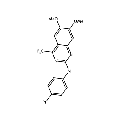 COc1cc2nc(Nc3ccc(C(C)C)cc3)nc(C(F)(F)F)c2cc1OC